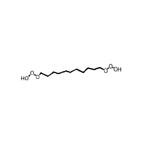 OOOCCCCCCCCCCCOOO